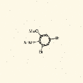 COc1cc(Br)cc(Br)c1NC(C)=O